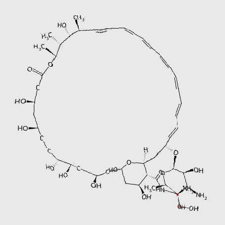 C[C@@H]1[C@H](O)[C@@H](C)/C=C/C=C/C=C/C=C/C=C/C=C/C=C/[C@H](O[C@@H]2O[C@H](C)[C@@H](O)[C@H](N)[C@@H]2O)C[C@@H]2O[C@](O)(C[C@@H](O)C[C@@H](O)[C@H](O)CC[C@@H](O)C[C@@H](O)CC(=O)O[C@H]1C)C[C@H](O)[C@H]2C(=O)N[C@@H](N)CO